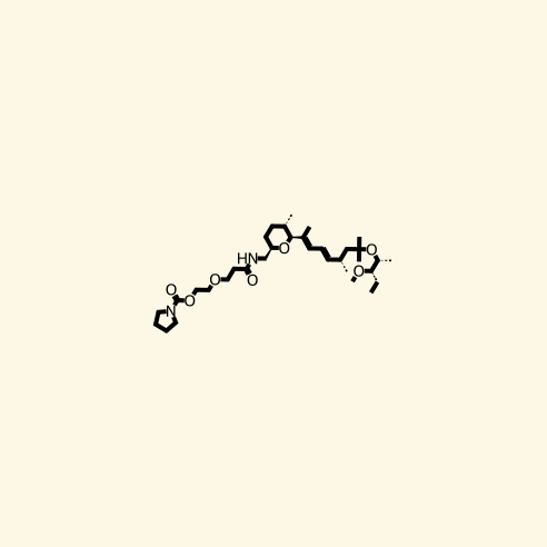 CC[C@H](OC)[C@@H](C)OC(C)(C)C[C@H](C)/C=C/C=C(\C)[C@H]1O[C@@H](CNC(=O)CCOCCOC(=O)N2CCCC2)CC[C@@H]1C